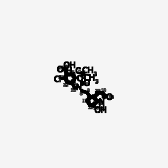 CC(C)(C)OC(=O)N(CCc1ccc(O)c2[nH]c(=O)ccc12)Cc1ccc(C(=O)O)c(Cl)c1